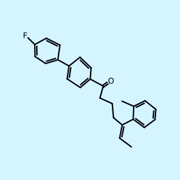 C/C=C(/CCCC(=O)c1ccc(-c2ccc(F)cc2)cc1)c1ccccc1C